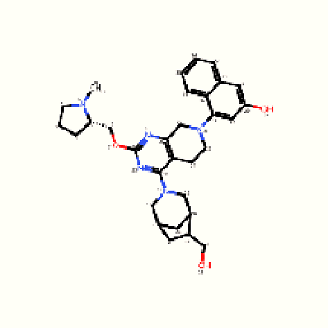 CN1CCC[C@H]1COc1nc2c(c(N3CC4CC(CO)C(C4)C3)n1)CCN(c1cc(O)cc3ccccc13)C2